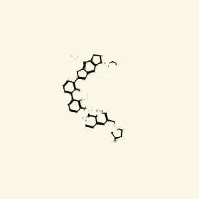 CCOC(=O)CN[C@H]1CCc2c1cc1c(c2C#N)CC(c2cccc(-c3cccc(Nc4nccc5cc(CN6CC[C@@H](O)C6)cnc45)c3Cl)c2Cl)=C1